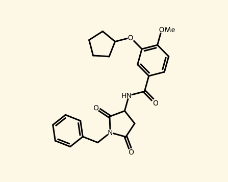 COc1ccc(C(=O)NC2CC(=O)N(Cc3ccccc3)C2=O)cc1OC1CCCC1